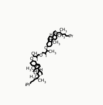 CC(C)CCC[C@@H](C)[C@H]1CC[C@H]2[C@@H]3CC=C4CC(OC(C)C(I)COCC(I)C(C)OC5CC[C@@]6(C)C(=CC[C@H]7[C@@H]8CC[C@H]([C@H](C)CCCC(C)C)[C@@]8(C)CC[C@@H]76)C5)CC[C@]4(C)[C@H]3CC[C@]12C